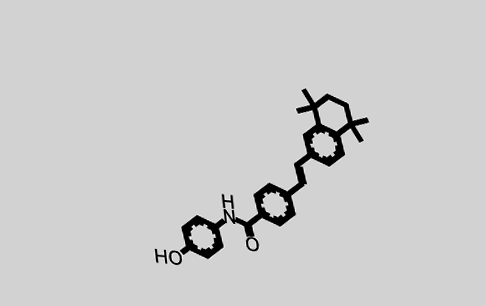 CC1(C)CCC(C)(C)c2cc(/C=C/c3ccc(C(=O)Nc4ccc(O)cc4)cc3)ccc21